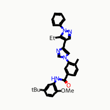 CCc1c(-c2cn(-c3cc(C(=O)Nc4cc(C(C)(C)C)ccc4OC)ccc3C)cn2)cnn1-c1ccccc1